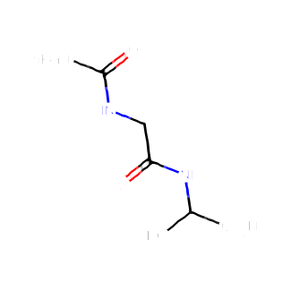 CCCCCC(=O)NCC(=O)NC(C)C(=O)O